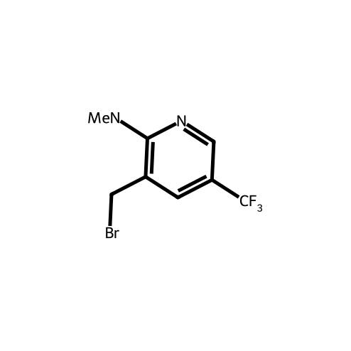 CNc1ncc(C(F)(F)F)cc1CBr